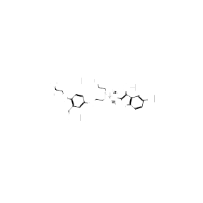 CCCN(CCSc1ccc(OCC(=O)O)c(CC)c1)S(=O)(=O)c1sc2ccc(Cl)cc2c1C